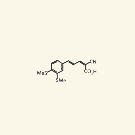 CSc1ccc(C=CC=C(C#N)C(=O)O)cc1SC